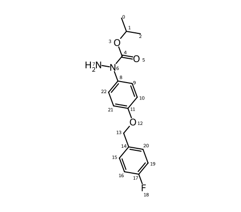 CC(C)OC(=O)N(N)c1ccc(OCc2ccc(F)cc2)cc1